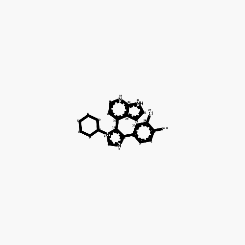 Fc1ccc(-c2ncn(C3CCCCC3)c2-c2ccnc3[nH]ccc23)cc1Cl